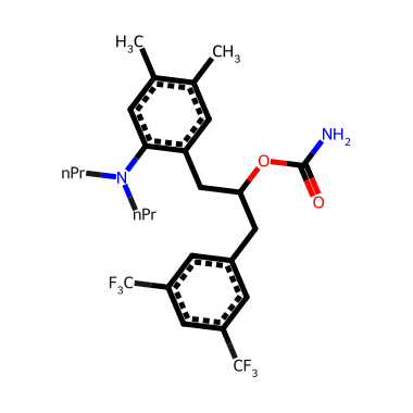 CCCN(CCC)c1cc(C)c(C)cc1CC(Cc1cc(C(F)(F)F)cc(C(F)(F)F)c1)OC(N)=O